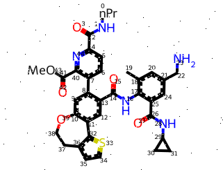 CCCNC(=O)c1ccc(-c2cc3c(cc2C(=O)Nc2c(C)cc(CN)cc2C(=O)NC2CC2)-c2sccc2CCO3)c(C(=O)OC)n1